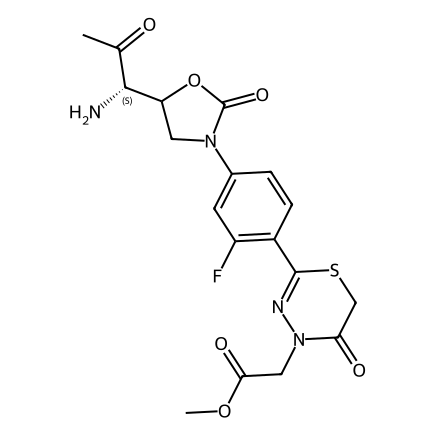 COC(=O)CN1N=C(c2ccc(N3CC([C@H](N)C(C)=O)OC3=O)cc2F)SCC1=O